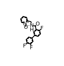 O=C(NCc1cccc[n+]1[O-])c1cc(-c2ccc(F)c(F)c2)ccc1F